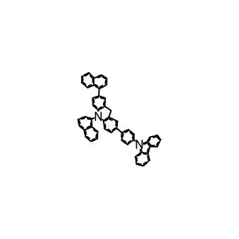 c1ccc2c(-c3ccc4c(c3)Cc3cc(-c5ccc(-n6c7ccccc7c7ccccc76)cc5)ccc3N4c3cccc4ccccc34)cccc2c1